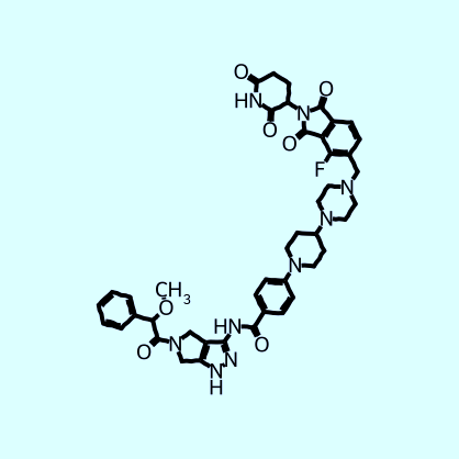 COC(C(=O)N1Cc2[nH]nc(NC(=O)c3ccc(N4CCC(N5CCN(Cc6ccc7c(c6F)C(=O)N(C6CCC(=O)NC6=O)C7=O)CC5)CC4)cc3)c2C1)c1ccccc1